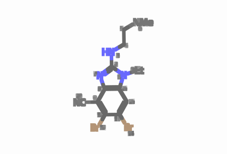 CCn1c(NCCNC)nc2c(C#N)c(Br)c(Br)cc21